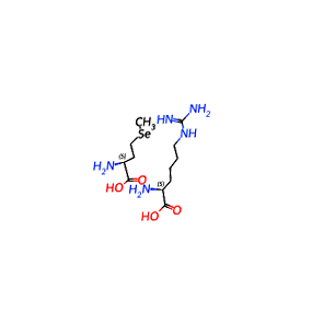 C[Se]CC[C@H](N)C(=O)O.N=C(N)NCCCC[C@H](N)C(=O)O